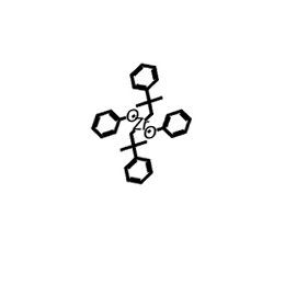 CC(C)([CH2][Zr]([CH2]C(C)(C)c1ccccc1)([O]c1ccccc1)[O]c1ccccc1)c1ccccc1